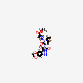 COC(=O)c1csc(NC(=O)[C@H](Cc2cccs2)N2C(=O)N[C@H](c3ccc4c(c3)OCCO4)C2=O)n1